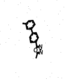 Cc1cccc(-c2ccc(-c3nnc(C)o3)cc2)c1